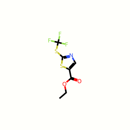 CCOC(=O)c1cnc(SC(F)(F)F)s1